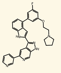 Fc1cc(OCCN2CCCC2)cc(-c2cccc3[nH]c(-c4n[nH]c5cnc(-c6cccnc6)cc45)cc23)c1